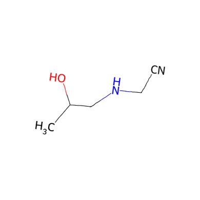 CC(O)CNCC#N